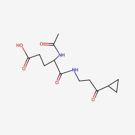 CC(=O)NC(CCC(=O)O)C(=O)NCCC(=O)C1CC1